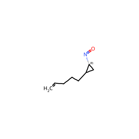 C=CCCCC1C[C@H]1N=O